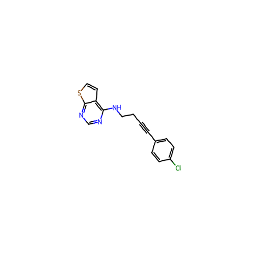 Clc1ccc(C#CCCNc2ncnc3sccc23)cc1